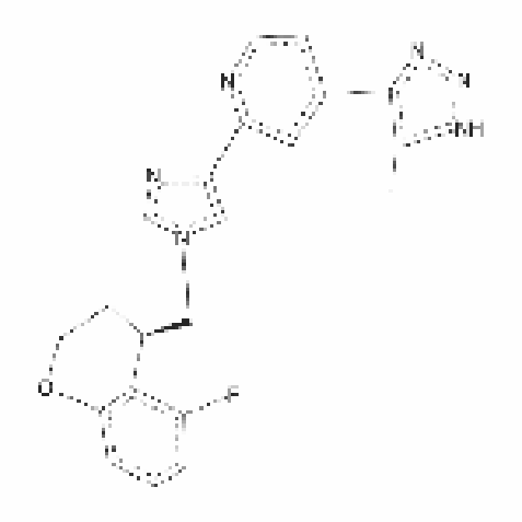 Cc1[nH]nnc1-c1ccnc(-c2cn(C[C@@H]3CCOc4cccc(F)c43)cn2)c1